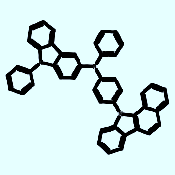 c1ccc(N(c2ccc(-n3c4ccccc4c4ccc5ccccc5c43)cc2)c2ccc3c(c2)c2ccccc2n3-c2ccccc2)cc1